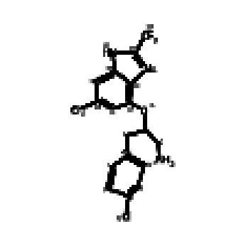 NCC(Cc1ccc(Cl)cc1)Oc1cc(Cl)cc2[nH]c(C(F)(F)F)nc12